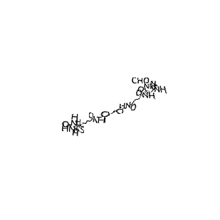 O=CCNC(=O)[C@H](Cc1cnc[nH]1)NC(=O)CCC(=O)NCCOCCOCCNC(=O)CCCC[C@@H]1SC[C@@H]2NC(=O)N[C@@H]21